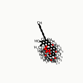 BBB(B)B(B(B)B)c1c(B(B(B)B)B(B)B)c(B(BB)B(B)B)c(B(B)B(B)B)c2c(-c3c4c(C)c(C)c(C)c(C)c4c(-c4c(C)c(C)c5c(C)c(C#CC#CC#CC#CC#C)c6c(C)c(C#C)c(C#CC)c(C#CC#C)c6c5c4C#CC#CC)c4c(C)c(C)c(C)c(C)c34)c(C)c(C)c(B)c12